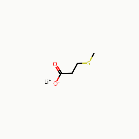 CSCCC(=O)[O-].[Li+]